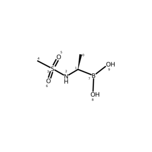 C[C@H](NS(C)(=O)=O)B(O)O